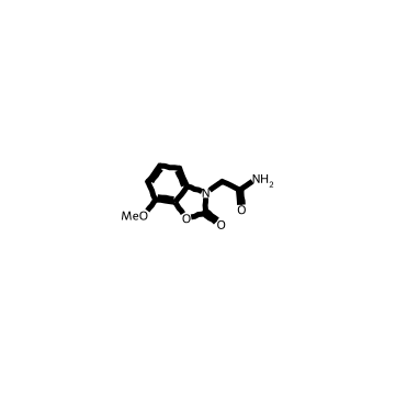 COc1cccc2c1oc(=O)n2CC(N)=O